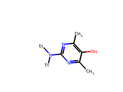 CCN(CC)c1nc(C)c(O)c(C)n1